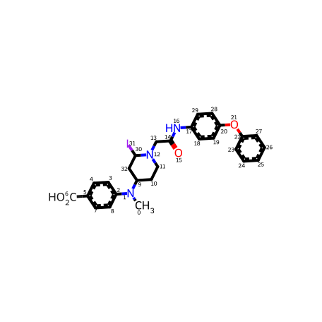 CN(c1ccc(C(=O)O)cc1)C1CCN(CC(=O)Nc2ccc(Oc3ccccc3)cc2)C(I)C1